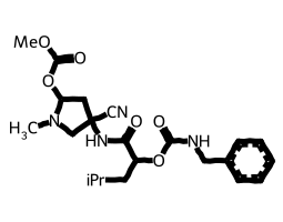 COC(=O)OC1CC(C#N)(NC(=O)C(CC(C)C)OC(=O)NCc2ccccc2)CN1C